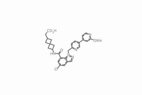 COc1cc(-c2ccc(Cn3ncc4cc(Cl)cc(C(=O)NC5CC6(CC(CC(=O)O)C6)C5)c43)nc2)ccn1